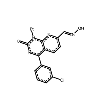 CCn1c(=O)nc(-c2cccc(Cl)c2)c2ccc(C=NO)nc21